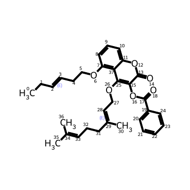 CC/C=C/CCOc1cccc2oc(=O)c(OC(=O)c3ccccc3)c(OC/C=C(\C)CCC=C(C)C)c12